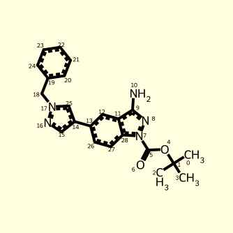 CC(C)(C)OC(=O)n1nc(N)c2cc(-c3cnn(Cc4ccccc4)c3)ccc21